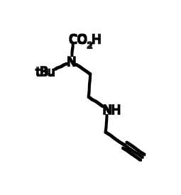 C#CCNCCN(C(=O)O)C(C)(C)C